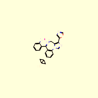 C[C@H]1N=C(c2ccccc2[N+](=O)[O-])c2cc([C@]34C[C@H]3C4)ccc2-n2cnc(-c3cnco3)c21